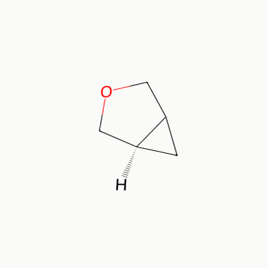 C1OC[C@@H]2CC12